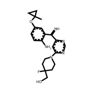 CC1(Oc2ccc(N)c(C(=N)c3cc(N4CCC(F)(CO)CC4)ncn3)c2)CC1